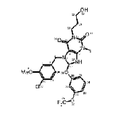 COc1cc(CN2c3c(n(C)c(=O)n(CCCO)c3=O)NC2Oc2cccc(OC(F)(F)F)c2)ccc1Cl